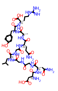 CC(C)C[C@H](NC(=O)CNC(=O)CNC(=O)[C@H](CC(N)=O)NC(=O)[C@@H](N)CC(=O)O)C(=O)NCC(=O)N[C@@H](CCC(N)=O)C(=O)N[C@@H](C)C(=O)N[C@@H](Cc1ccc(O)cc1)C(=O)N[C@@H](CCCNC(=N)N)C(=O)O